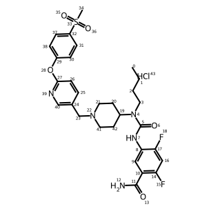 CCCCN(C(=O)Nc1cc(C(N)=O)c(F)cc1F)C1CCN(Cc2ccc(Oc3ccc(S(C)(=O)=O)cc3)nc2)CC1.Cl